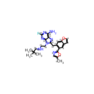 Cc1cnc(-c2cc3ccoc3cc2Cc2nc3c(N)nc(F)nc3n2CCNCC(C)(C)C)o1